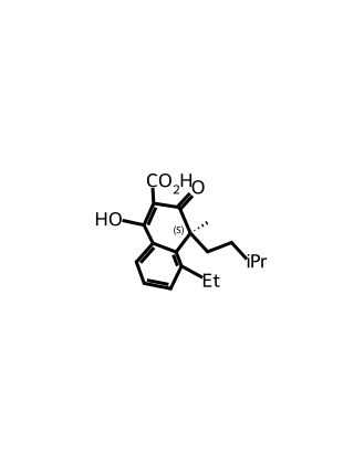 CCc1cccc2c1[C@](C)(CCC(C)C)C(=O)C(C(=O)O)=C2O